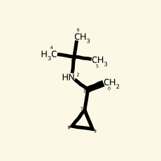 C=C(NC(C)(C)C)C1CC1